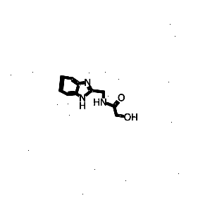 O=C(CO)NCc1nc2ccccc2[nH]1